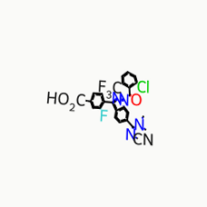 CN(C)C(=NC#N)c1ccc2c(-c3ccc(C(=O)O)cc3F)nn(C(=O)c3c(Cl)cccc3C(F)(F)F)c2c1